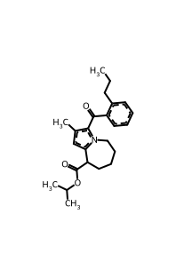 CCCc1ccccc1C(=O)c1c(C)cc2n1CCCCC2C(=O)OC(C)C